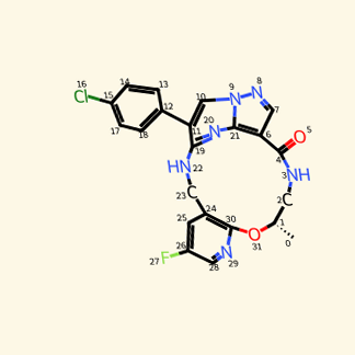 C[C@H]1CNC(=O)c2cnn3cc(-c4ccc(Cl)cc4)c(nc23)NCc2cc(F)cnc2O1